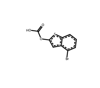 O=C(O)Oc1cc2c(Br)cccc2s1